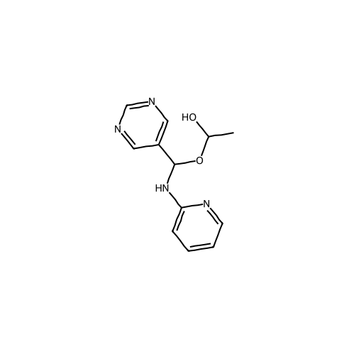 CC(O)OC(Nc1ccccn1)c1cncnc1